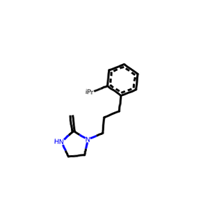 C=C1NCCN1CCCc1ccccc1C(C)C